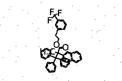 CC(C(=O)OCCc1cccc(C(F)(F)F)c1)(c1ccc2ccccc2c1)C(c1ccccc1)(c1ccccc1)c1ccccc1